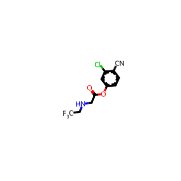 N#Cc1ccc(OC(=O)CNCC(F)(F)F)cc1Cl